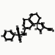 NC1=NC2(CCOc3ccc(NS(=O)(=O)c4ccccc4)cc32)CS1